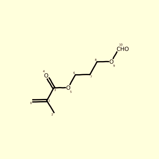 C=C(C)C(=O)OCCCOC=O